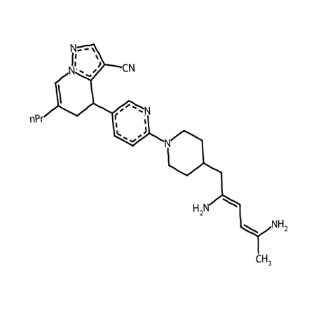 CCCC1=Cn2ncc(C#N)c2C(c2ccc(N3CCC(C/C(N)=C/C=C(/C)N)CC3)nc2)C1